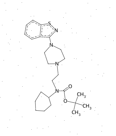 CC(C)(C)OC(=O)N(CCN1CCN(c2nsc3ccccc23)CC1)C1CCCCC1